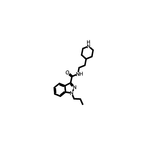 CCCn1nc(C(=O)NCCC2CCNCC2)c2ccccc21